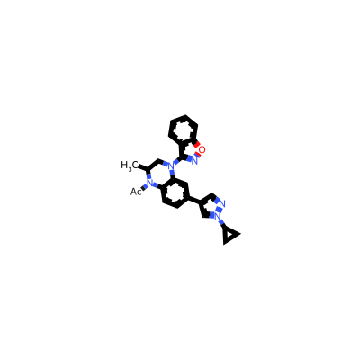 CC(=O)N1c2ccc(-c3cnn(C4CC4)c3)cc2N(c2noc3ccccc23)CC1C